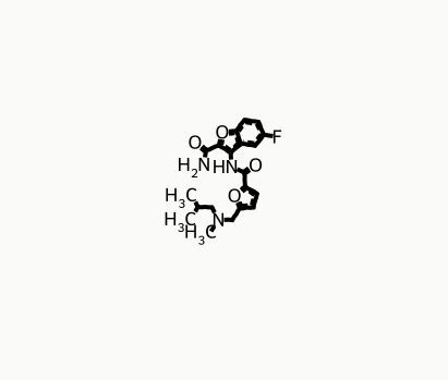 CC(C)CN(C)Cc1ccc(C(=O)Nc2c(C(N)=O)oc3ccc(F)cc23)o1